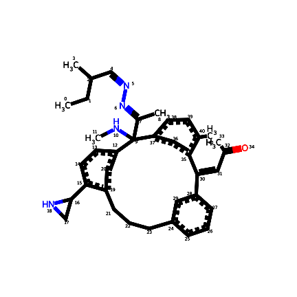 CCC(C)/C=N\N=C(/C)C1(NC)c2ccc(C3CN3)c(c2)CCCc2cccc(c2)/C(=C/C(C)=O)c2cc1ccc2C